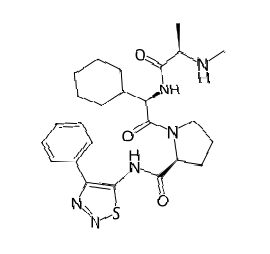 CN[C@H](C)C(=O)N[C@@H](C(=O)N1CCC[C@H]1C(=O)Nc1snnc1-c1ccccc1)C1CCCCC1